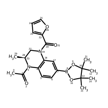 CC(=O)N1c2ccc(B3OC(C)(C)C(C)(C)O3)cc2N(C(=O)c2ccco2)C[C@@H]1C